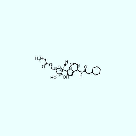 N#C[C@@]1(c2ccc3c(NC(=O)CC4CCCCC4)ncnn23)O[C@H](COC(=O)CN)[C@@H](O)[C@H]1O